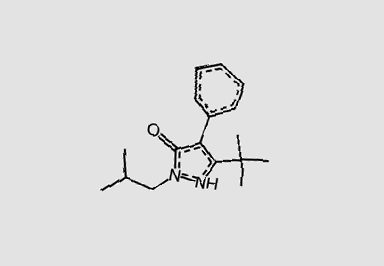 CC(C)Cn1[nH]c(C(C)(C)C)c(-c2ccccc2)c1=O